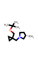 C[C@H]1CCN(CC2(COC(C)(C)C)CC2)C1